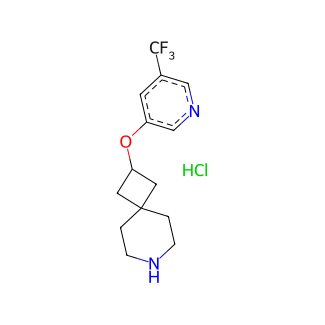 Cl.FC(F)(F)c1cncc(OC2CC3(CCNCC3)C2)c1